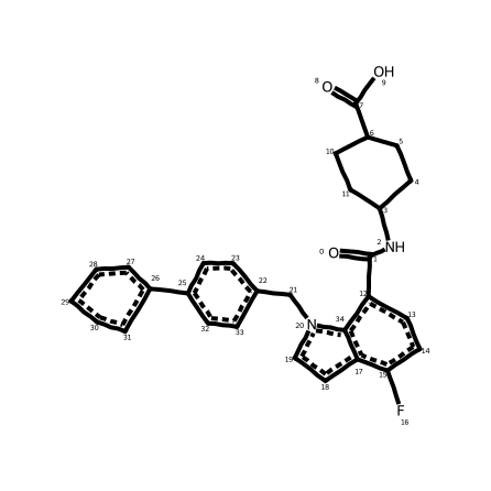 O=C(NC1CCC(C(=O)O)CC1)c1ccc(F)c2ccn(Cc3ccc(-c4ccccc4)cc3)c12